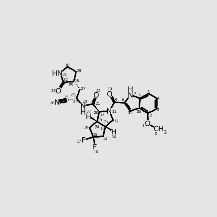 COc1cccc2[nH]c(C(=O)N3C[C@@H]4CC(F)(F)C[C@@H]4[C@H]3C(=O)N[C@H](C#N)C[C@H]3CCNC3=O)cc12